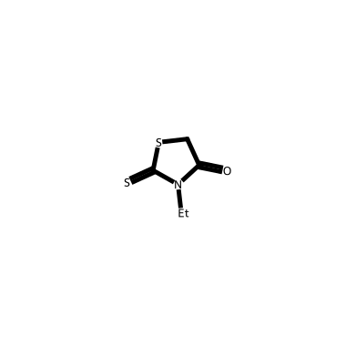 [CH2]CN1C(=O)CSC1=S